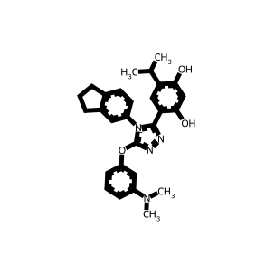 CC(C)c1cc(-c2nnc(Oc3cccc(N(C)C)c3)n2-c2ccc3c(c2)CCC3)c(O)cc1O